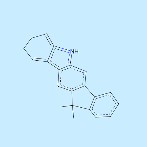 CC1(C)c2ccccc2-c2cc3[nH]c4c(c3cc21)=CCCC=4